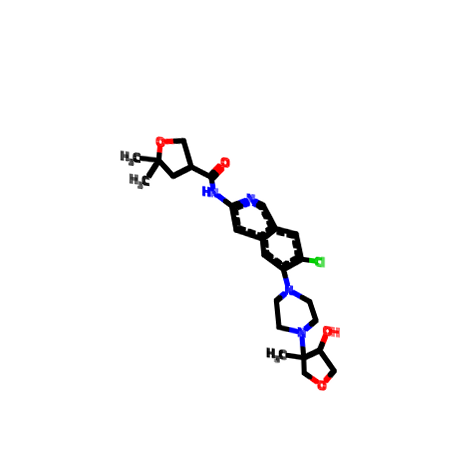 CC1(C)CC(C(=O)Nc2cc3cc(N4CCN(C5(C)COCC5O)CC4)c(Cl)cc3cn2)CO1